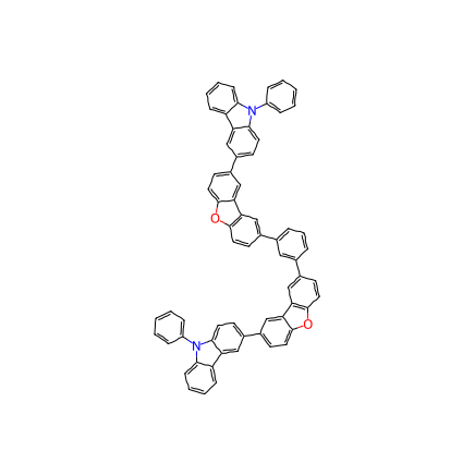 c1ccc(-n2c3ccccc3c3cc(-c4ccc5oc6ccc(-c7cccc(-c8ccc9oc%10ccc(-c%11ccc%12c(c%11)c%11ccccc%11n%12-c%11ccccc%11)cc%10c9c8)c7)cc6c5c4)ccc32)cc1